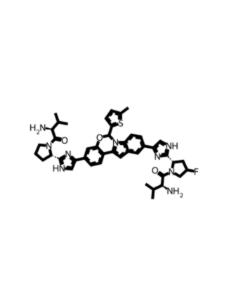 Cc1ccc(C2Oc3cc(-c4c[nH]c([C@@H]5CCCN5C(=O)[C@@H](N)C(C)C)n4)ccc3-c3cc4cc(-c5c[nH]c([C@@H]6CC(F)CN6C(=O)[C@@H](N)C(C)C)n5)ccc4n32)s1